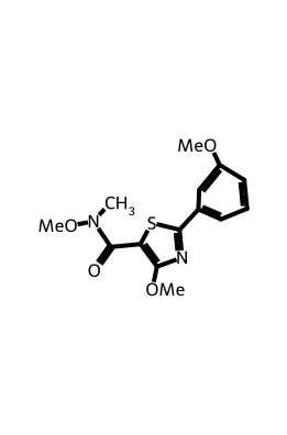 COc1cccc(-c2nc(OC)c(C(=O)N(C)OC)s2)c1